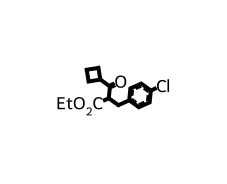 CCOC(=O)C(Cc1ccc(Cl)cc1)C(=O)C1CCC1